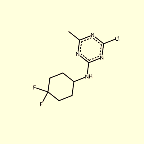 Cc1nc(Cl)nc(NC2CCC(F)(F)CC2)n1